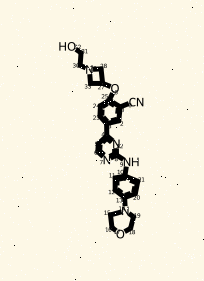 N#Cc1cc(-c2ccnc(Nc3ccc(N4CCOCC4)cc3)n2)ccc1OC1CN(CCO)C1